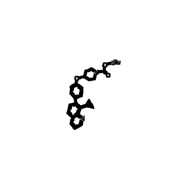 CC(C)(C)OC(=O)N1CCC(Oc2ccc(-c3ccc4cccnc4c3C3CC3)cc2)CC1